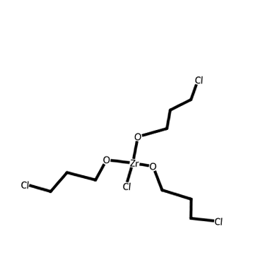 ClCCC[O][Zr]([Cl])([O]CCCCl)[O]CCCCl